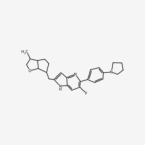 CC1COC2C(Cc3cc4nc(-c5ccc(N6CCCC6)cc5)c(F)cc4[nH]3)CCC12